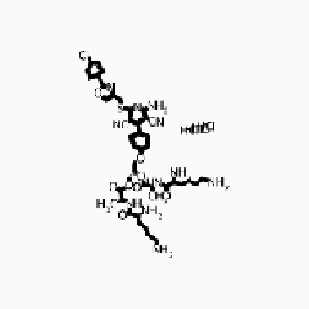 CC(NC(=O)[C@@H](N)CCCCN)C(=O)O[C@H](COC(=O)[C@H](C)NC(=O)[C@@H](N)CCCCN)COc1ccc(-c2c(C#N)c(N)nc(SCc3coc(-c4ccc(Cl)cc4)n3)c2C#N)cc1.Cl.Cl.Cl.Cl